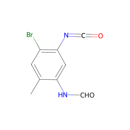 Cc1cc(Br)c(N=C=O)cc1NC=O